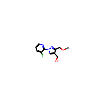 CC(C)OCc1nn(-c2ncccc2F)cc1CO